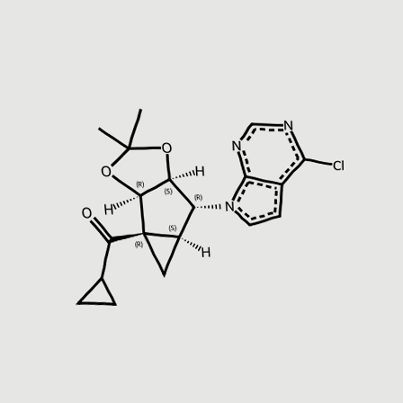 CC1(C)O[C@H]2[C@H](n3ccc4c(Cl)ncnc43)[C@H]3C[C@]3(C(=O)C3CC3)[C@H]2O1